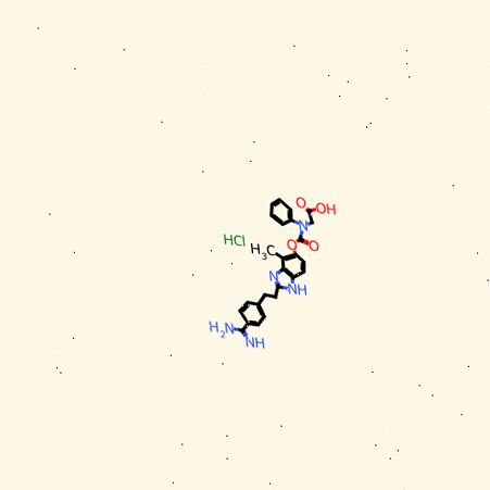 Cc1c(OC(=O)N(CC(=O)O)c2ccccc2)ccc2[nH]c(CCc3ccc(C(=N)N)cc3)nc12.Cl